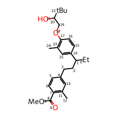 CCC(CCc1ccc(C(=O)OC)c(C)c1)c1ccc(OCC(O)C(C)(C)C)c(C)c1